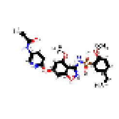 C#CC(=O)Nc1ccc(Oc2cc(OC)c3c(NS(=O)(=O)c4cc(CC)ccc4OC)noc3c2)nc1